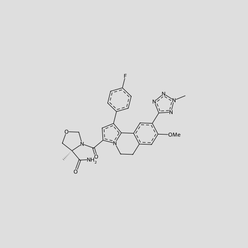 COc1cc2c(cc1-c1nnn(C)n1)-c1c(-c3ccc(F)cc3)cc(C(=O)N3COC[C@]3(C)C(N)=O)n1CC2